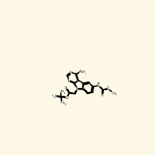 CNC(=O)Nc1ccc2c(c1)c1c([AsH2])ncnc1n2CC(=O)OC(C)(C)C